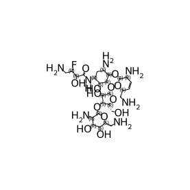 NC[C@@H](F)[C@H](O)C(=O)N[C@@H]1C[C@H](N)[C@@H](O[C@H]2O[C@H](CN)C=C[C@H]2N)[C@H](O[C@@H]2O[C@H](CO)[C@@H](O[C@H]3O[C@@H](CN)[C@@H](O)[C@H](O)[C@H]3N)[C@H]2O)[C@H]1O